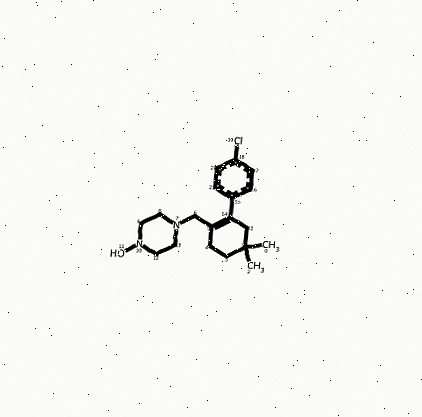 CC1(C)CCC(CN2CCN(O)CC2)=C(c2ccc(Cl)cc2)C1